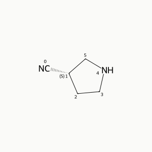 N#C[C@H]1CCNC1